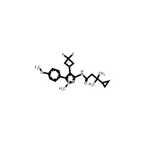 Cn1nc(NC(=O)CC(C)(C)C2CC2)c(C2CC(F)(F)C2)c1-c1ccc(OC(F)(F)F)cc1